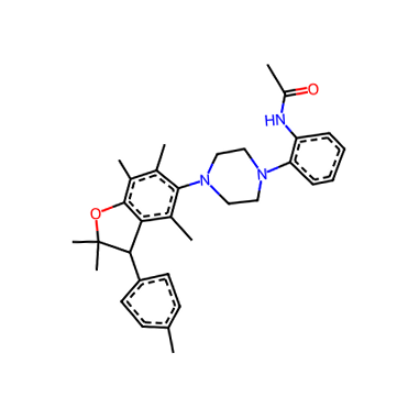 CC(=O)Nc1ccccc1N1CCN(c2c(C)c(C)c3c(c2C)C(c2ccc(C)cc2)C(C)(C)O3)CC1